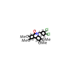 COc1cc2c(=O)n(Cc3ccc(Cl)c(Cl)c3)c3cc(OC)c(OC)cc3c2cc1OC